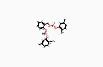 Cc1ccc(C(C)C)c(OPOCc2ccccc2OPOc2cc(C)ccc2C(C)C)c1